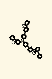 c1ccc(-c2cccc3c2oc2ccc(-c4ccc(N(c5ccc(-c6ccc7c(c6)sc6ccccc67)cc5)c5ccc6oc7ccccc7c6c5)cc4)cc23)cc1